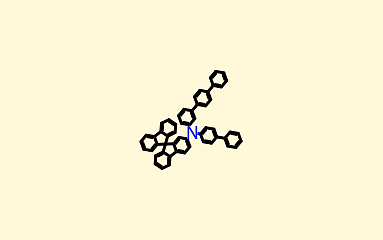 c1ccc(-c2ccc(-c3cccc(N(c4ccc(-c5ccccc5)cc4)c4ccc5c(c4)C4(c6ccccc6-c6ccccc64)c4ccccc4-5)c3)cc2)cc1